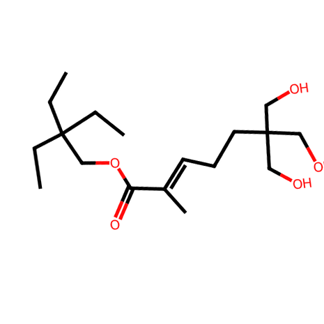 CCC(CC)(CC)COC(=O)C(C)=CCCC(CO)(CO)CO